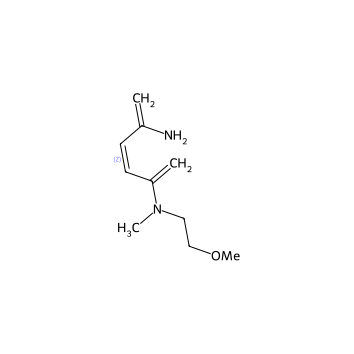 C=C(N)/C=C\C(=C)N(C)CCOC